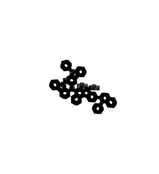 CCCCC1(CCCC)c2cc(-c3ccc4ccccc4c3-c3ccccc3)ccc2-c2c1cc(N(c1ccc3c(c1)c1ccccc1n3-c1ccccc1)c1cccc3c4ccccc4n(CC)c13)c1ccccc21